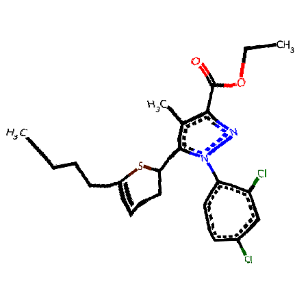 CCCCC1=CCC(c2c(C)c(C(=O)OCC)nn2-c2ccc(Cl)cc2Cl)S1